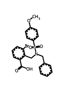 COc1ccc(S(=O)(=O)N(Cc2ccccc2)Cc2c(Br)cccc2C(=O)O)cc1